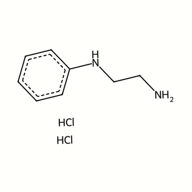 Cl.Cl.NCCNc1ccccc1